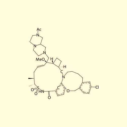 CO[C@]1(CN2CCN3CCN(C(C)=O)CC3C2)/C=C/C[C@H](C)[C@@H](C)S(=O)(=O)NC(=O)c2ccc3c(c2)N(CCCCc2cc(Cl)ccc2CO3)C[C@@H]2CC[C@H]21